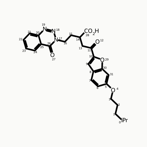 CC(C)CCCOc1ccc2cc(C(=O)CC(CCn3nnc4ccccc4c3=O)C(=O)O)oc2c1